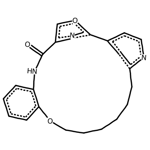 O=C1Nc2ccccc2OCCCCCCc2cc(ccn2)-c2nc1co2